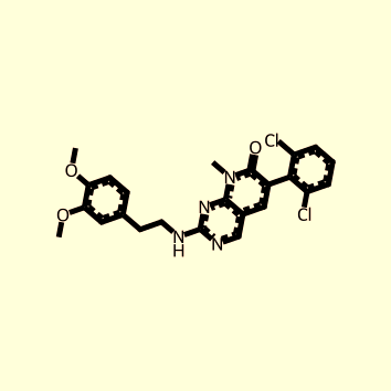 COc1ccc(CCNc2ncc3cc(-c4c(Cl)cccc4Cl)c(=O)n(C)c3n2)cc1OC